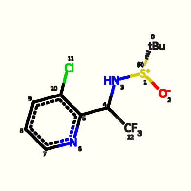 CC(C)(C)[S@+]([O-])NC(c1ncccc1Cl)C(F)(F)F